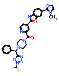 Cn1ccnc1-c1ccc2nc(-c3ccnc(C(=O)N4CCN([C@H](c5ccccc5)c5nnn(C(F)F)n5)CC4)c3)oc2c1